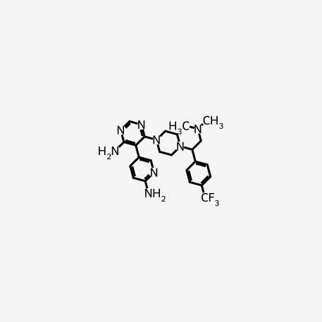 CN(C)CC(c1ccc(C(F)(F)F)cc1)N1CCN(c2ncnc(N)c2-c2ccc(N)nc2)CC1